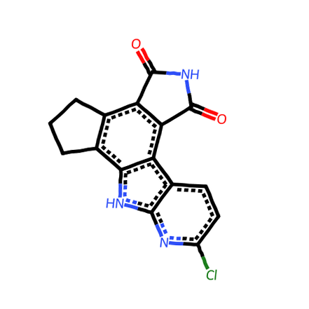 O=C1NC(=O)c2c1c1c(c3[nH]c4nc(Cl)ccc4c23)CCC1